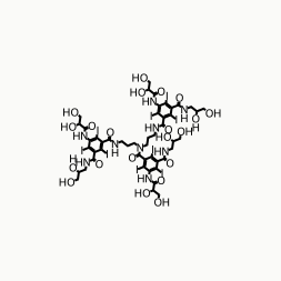 O=C(NCCCN(CCCNC(=O)c1c(I)c(NC(=O)C(O)CO)c(I)c(C(=O)NCC(O)CO)c1I)C(=O)c1c(I)c(NC(=O)C(O)CO)c(I)c(C(=O)NCC(O)CO)c1I)c1c(I)c(NC(=O)C(O)CO)c(I)c(C(=O)NCC(O)CO)c1I